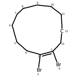 Br/C1=C(\Br)CCCCCCCCCC1